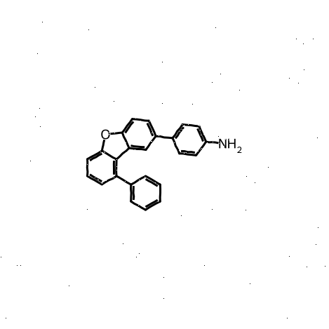 Nc1ccc(-c2ccc3oc4cccc(-c5ccccc5)c4c3c2)cc1